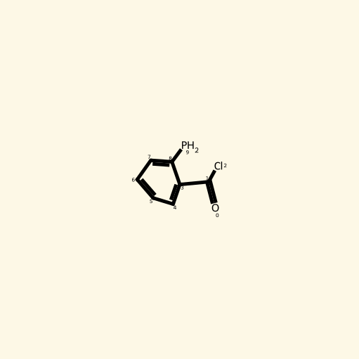 O=C(Cl)c1ccccc1P